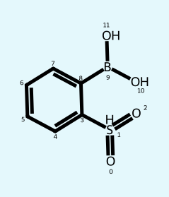 O=[SH](=O)c1ccccc1B(O)O